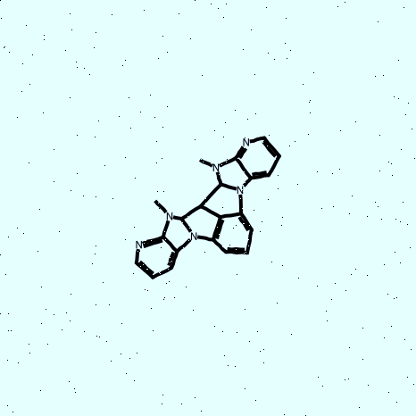 CN1c2ncccc2N2c3cccc4c3C(C12)C1N(C)c2ncccc2N41